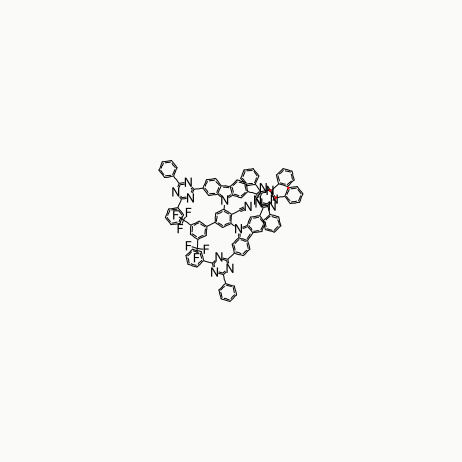 N#Cc1c(-n2c3cc(-c4nc(-c5ccccc5)nc(-c5ccccc5)n4)ccc3c3ccc(-c4nc(-c5ccccc5)nc(-c5ccccc5)n4)cc32)cc(-c2cc(C(F)(F)F)cc(C(F)(F)F)c2)cc1-n1c2cc(-c3nc(-c4ccccc4)nc(-c4ccccc4)n3)ccc2c2ccc(-c3nc(-c4ccccc4)nc(-c4ccccc4)n3)cc21